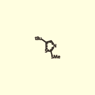 CSc1ncc(C(C)(C)C)s1